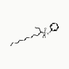 CCCCCCCCCC(CC)S(=O)(=O)Oc1ccccc1